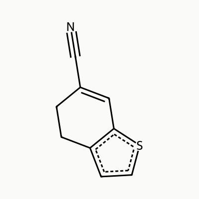 N#CC1=Cc2sccc2CC1